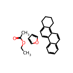 CCOC(C)=O.c1ccc2c(c1)ccc1c3c(ccc12)CCCC3.c1ccoc1